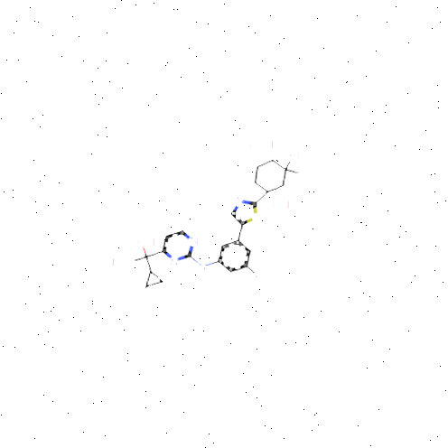 Cc1cc(Nc2nccc(C(C)(O)C3CC3)n2)cc(-c2cnc([C@@]3(O)CC[C@H](C(=O)O)C(C)(C)C3)s2)c1